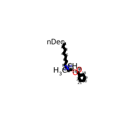 CCCCCCCCCCCCCCCCCC[N+](C)(C)CCOC(=O)c1ccccc1